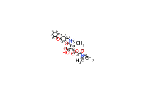 CCCN(Cc1ccc(Oc2ccccc2)cc1)C(=O)C1CC(C(=O)OCC(=O)N(CC)CC)C1C(=O)O